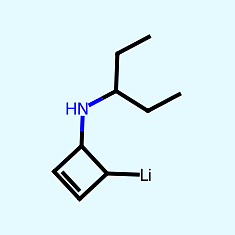 [Li][CH]1C=CC1NC(CC)CC